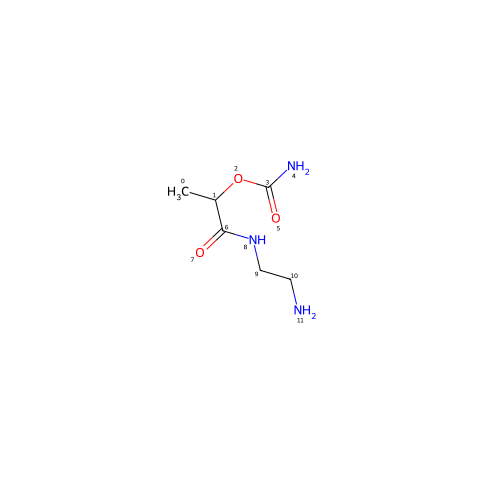 CC(OC(N)=O)C(=O)NCCN